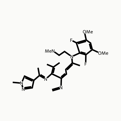 C=N/C(=C/C=C(\C)N(CCNC)c1c(F)c(OC)cc(OC)c1F)C(/N=C(\C)c1cnn(C)c1)=C(C)C